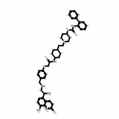 O=C(COc1ccc(CNCC(O)c2ccc(O)c3[nH]c(=O)ccc23)cc1)NC1CCC(CCN2CCC(OC(=O)Nc3ccccc3-c3ccccc3)CC2)CC1